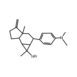 C=C1CCC2C3C(C(c4ccc(N(C)C)cc4)CC12C)C3(C)CCC